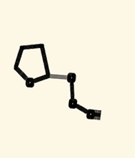 OOOC1CCCO1